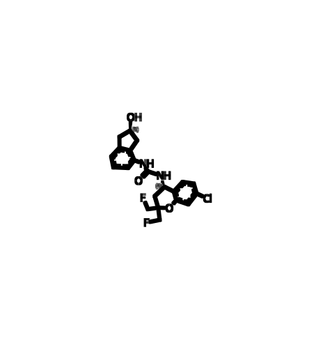 O=C(Nc1cccc2c1C[C@H](O)C2)N[C@H]1CC(CF)(CF)Oc2cc(Cl)ccc21